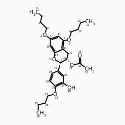 CCCCOc1cc(OCCCC)c2c(c1)O[C@H](c1ccc(OCCCC)c(O)c1)[C@@H](OC(C)=O)C2